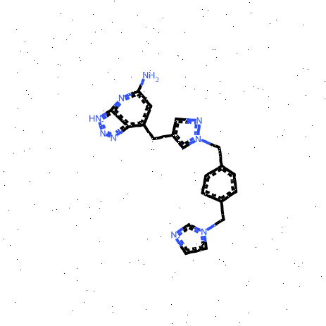 Nc1cc(Cc2cnn(Cc3ccc(Cn4ccnc4)cc3)c2)c2nn[nH]c2n1